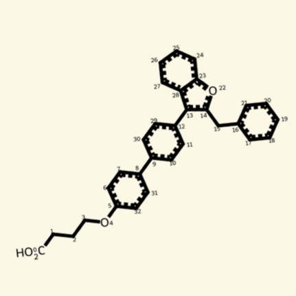 O=C(O)CCCOc1ccc(-c2ccc(-c3c(Cc4ccccc4)oc4ccccc34)cc2)cc1